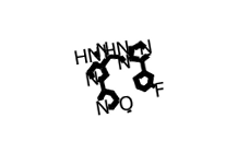 COc1cncc(-c2cc3c(-c4nc5c(-c6cccc(F)c6)cncc5[nH]4)n[nH]c3cn2)c1